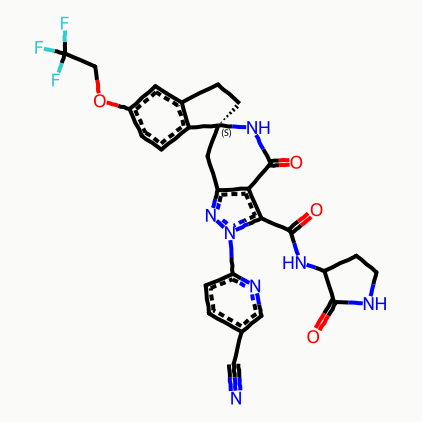 N#Cc1ccc(-n2nc3c(c2C(=O)NC2CCNC2=O)C(=O)N[C@@]2(CCc4cc(OCC(F)(F)F)ccc42)C3)nc1